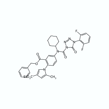 CCOC(=O)c1cc(C)n(-c2ccc(N(C(=O)n3nnn(-c4c(F)cccc4F)c3=O)C3CCCCC3)cc2C(=O)OCc2ccccc2)c1